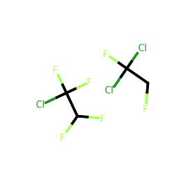 FC(F)C(F)(F)Cl.FCC(F)(Cl)Cl